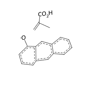 C=C(C)C(=O)O.[O]c1cccc2cc3ccccc3cc12